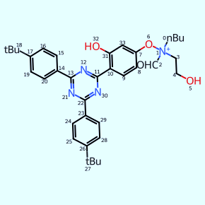 CCCC[N+](C=O)(CCO)Oc1ccc(-c2nc(-c3ccc(C(C)(C)C)cc3)nc(-c3ccc(C(C)(C)C)cc3)n2)c(O)c1